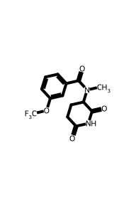 CN(C(=O)c1cccc(OC(F)(F)F)c1)C1CCC(=O)NC1=O